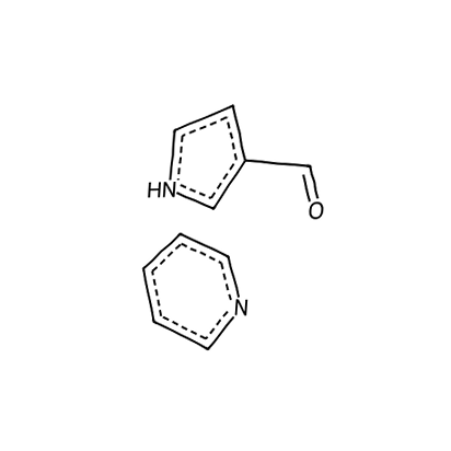 O=Cc1cc[nH]c1.c1ccncc1